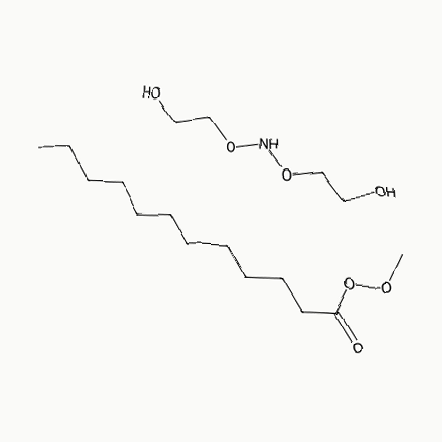 CCCCCCCCCCCC(=O)OOC.OCCONOCCO